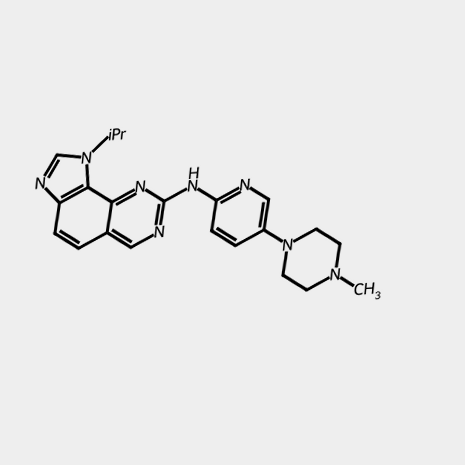 CC(C)n1cnc2ccc3cnc(Nc4ccc(N5CCN(C)CC5)cn4)nc3c21